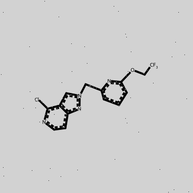 FC(F)(F)COc1cccc(Cn2cc3c(Cl)nccc3n2)n1